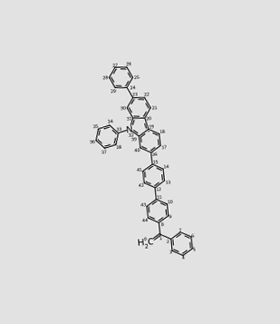 C=C(c1ccccc1)c1ccc(-c2ccc(-c3ccc4c5ccc(-c6ccccc6)cc5n(-c5ccccc5)c4c3)cc2)cc1